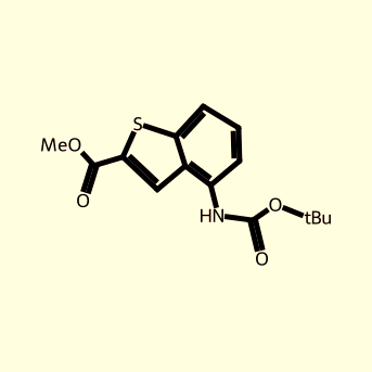 COC(=O)c1cc2c(NC(=O)OC(C)(C)C)cccc2s1